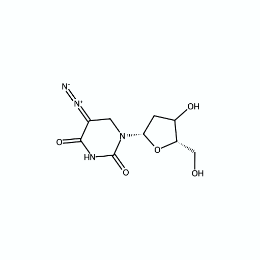 [N-]=[N+]=C1CN([C@@H]2CC(O)[C@H](CO)O2)C(=O)NC1=O